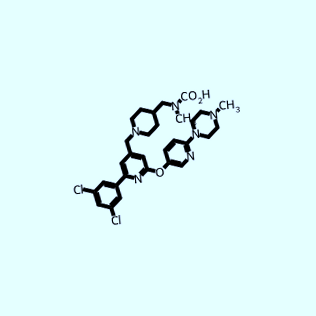 CN1CCN(c2ccc(Oc3cc(CN4CCC(CN(C)C(=O)O)CC4)cc(-c4cc(Cl)cc(Cl)c4)n3)cn2)CC1